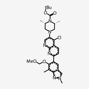 COCOc1c(-c2ccc3c(Cl)c(N4C[C@@H](C)N(C(=O)OC(C)(C)C)[C@@H](C)C4)cnc3n2)cc2cn(C)nc2c1C